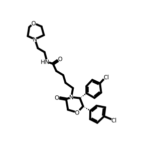 O=C(CCCCN1C(=O)CO[C@@H](c2ccc(Cl)cc2)[C@H]1c1ccc(Cl)cc1)NCCN1CCOCC1